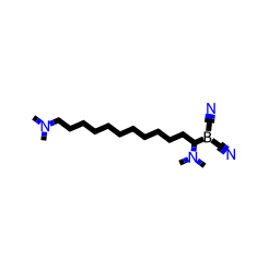 CN(C)CCCCCCCCCCCC(B(C#N)C#N)N(C)C